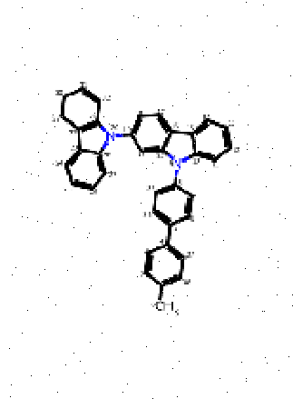 Cc1ccc(-c2ccc(-n3c4ccccc4c4ccc(-n5c6c(c7ccccc75)CCC=C6)cc43)cc2)cc1